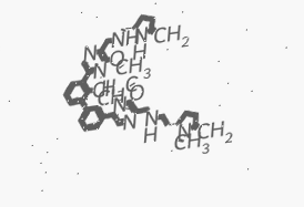 C=C1CC[C@@H](CNCc2ncc(-c3cccc(-c4cccc(-c5cnc(CNCC[C@@H]6CCC(=C)N6C)c(OC)n5)c4C)c3Cl)nc2OC)N1